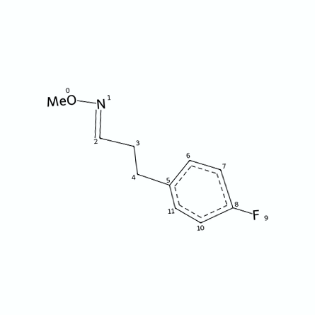 CO/N=C/CCc1ccc(F)cc1